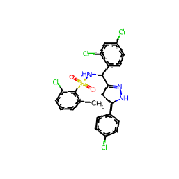 Cc1cccc(Cl)c1S(=O)(=O)NC(C1=NNC(c2ccc(Cl)cc2)C1)c1ccc(Cl)cc1Cl